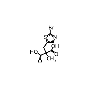 CC(Cc1cnc(Br)s1)(C(=O)O)C(=O)O